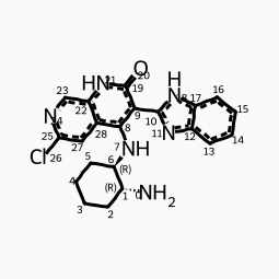 N[C@@H]1CCCC[C@H]1Nc1c(-c2nc3ccccc3[nH]2)c(=O)[nH]c2cnc(Cl)cc12